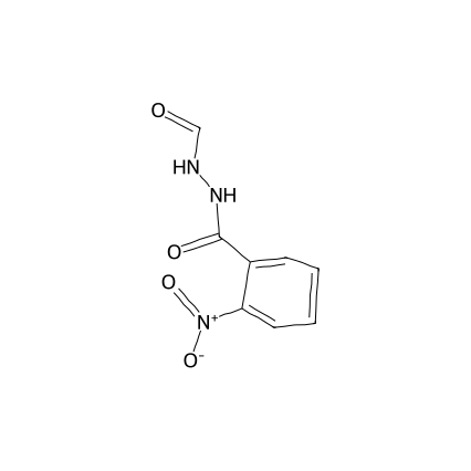 O=CNNC(=O)c1ccccc1[N+](=O)[O-]